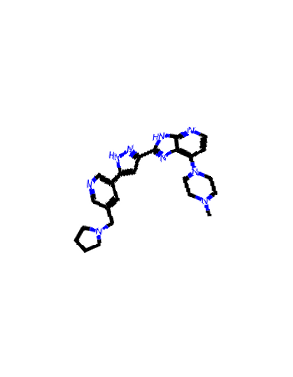 CN1CCN(c2ccnc3[nH]c(-c4cc(-c5cncc(CN6CCCC6)c5)[nH]n4)nc23)CC1